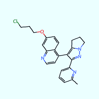 Cc1cccc(-c2nn3c(c2-c2ccnc4cc(OCCCCl)ccc24)CCC3)n1